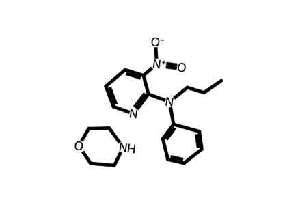 C1COCCN1.CCCN(c1ccccc1)c1ncccc1[N+](=O)[O-]